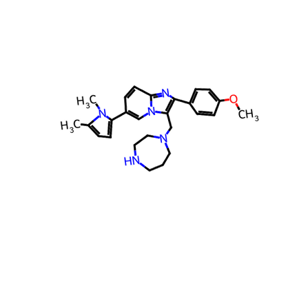 COc1ccc(-c2nc3ccc(-c4ccc(C)n4C)cn3c2CN2CCCNCC2)cc1